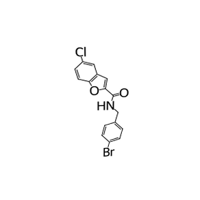 O=C(NCc1ccc(Br)cc1)c1cc2cc(Cl)ccc2o1